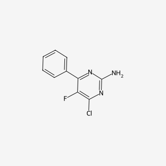 Nc1nc(Cl)c(F)c(-c2ccccc2)n1